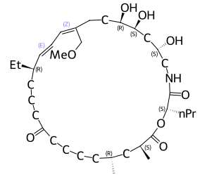 CCC[C@@H]1OC(=O)[C@@H](C)C[C@H](C)CCCCC(=O)CCC[C@@H](CC)/C=C/C=C(\COC)CC[C@@H](O)[C@@H](O)C[C@H](O)CNC1=O